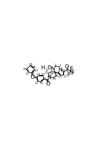 CN1CCn2c(C(=O)C(F)(F)F)ccc2C12CCN(C(=O)c1ccc(Oc3ccccc3)cc1)CC2